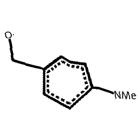 CNc1ccc(C[O])cc1